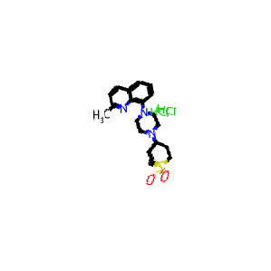 Cc1ccc2cccc(N3CCN(C4CCS(=O)(=O)CC4)CC3)c2n1.Cl.Cl